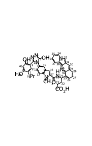 CC(C)c1cc(-c2nnc(O)n2-c2ccc3c(c2)cc(C(=O)NC(CCC(=O)O)c2cccc4cc5cn6ccccc6c5nc24)n3C)c(O)cc1O